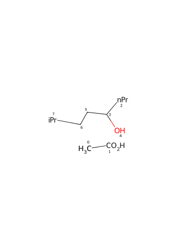 CC(=O)O.CCCC(O)CCC(C)C